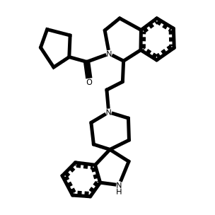 O=C(C1CCCC1)N1CCc2ccccc2C1CCN1CCC2(CC1)CNc1ccccc12